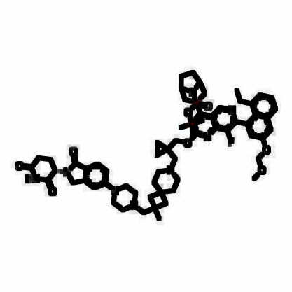 CCc1cccc2cc(OCOC)cc(-c3ncc4c(N5CC6CCC(C5)N6C(=O)OC(C)(C)C)nc(OCC5(CN6CCC7(CC6)CC(C)(CN6CCN(c8ccc9c(c8)CN([C@H]8CCC(=O)NC8=O)C9=O)CC6)C7)CC5)nc4c3F)c12